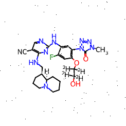 [2H]C([2H])(O)C([2H])([2H])Oc1cc(F)c(Nc2ncc(C#N)c(NC[C@@H]3CCCN4CCCC[C@H]34)n2)cc1-n1nnn(C)c1=O